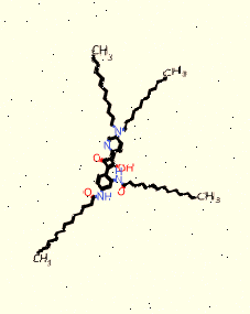 CCCCCCCCCCCCCC(=O)Nc1ccc(C2=C(O)/C(=C3\C=CC(=[N+](CCCCCCCCCCCC)CCCCCCCCCCCC)C=N3)C2=O)c(NC(=O)CCCCCCCCCCCCC)c1